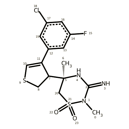 CN1C(=N)N[C@](C)(C2CSC=C2c2cc(F)cc(Cl)c2)CS1(=O)=O